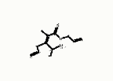 C=CCOC(=O)C(C)=C(CC=C)C(C)N